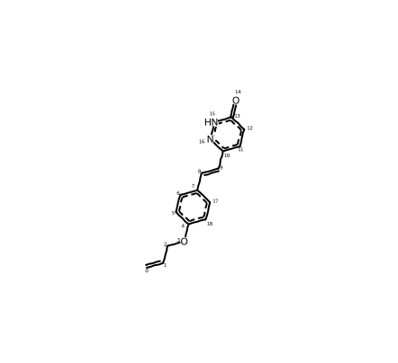 C=CCOc1ccc(C=Cc2ccc(=O)[nH]n2)cc1